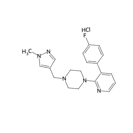 Cl.Cn1cc(CN2CCN(c3ncccc3-c3ccc(F)cc3)CC2)cn1